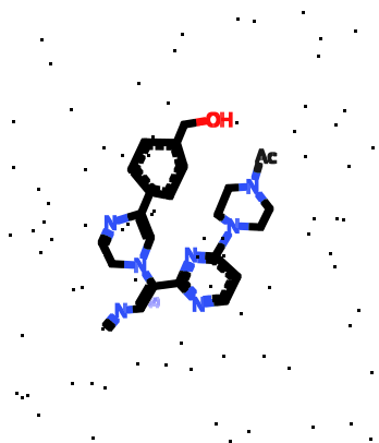 C=N/C=C(/c1nccc(N2CCN(C(C)=O)CC2)n1)N1C=C(c2ccc(CO)cc2)N=CC1